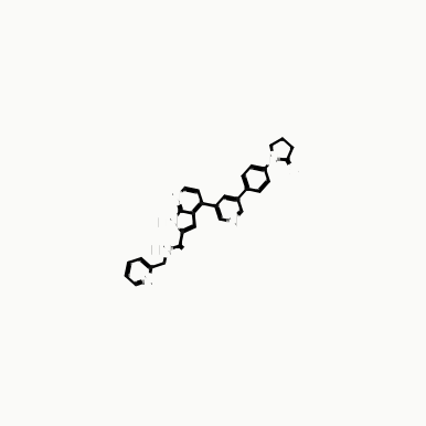 O=C(NCc1ccccn1)c1cc2c(-c3cncc(-c4ccc(N5CCCC5=O)cc4)c3)ccnc2[nH]1